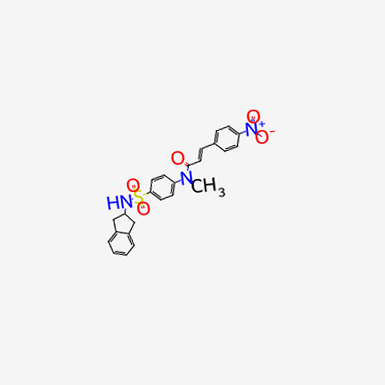 CN(C(=O)C=Cc1ccc([N+](=O)[O-])cc1)c1ccc(S(=O)(=O)NC2Cc3ccccc3C2)cc1